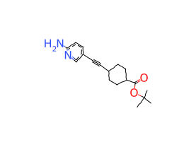 CC(C)(C)OC(=O)C1CCC(C#Cc2ccc(N)nc2)CC1